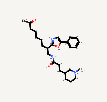 CCC(=O)CCCCCC(CNC(=O)CCC1CCCN(C)C1)c1ncc(-c2ccccc2)o1